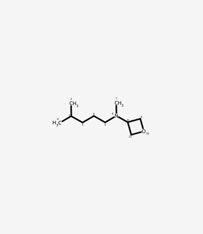 CC(C)CCCN(C)C1COC1